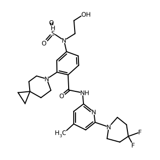 Cc1cc(NC(=O)c2ccc(N(CCO)[SH](=O)=O)cc2N2CCC3(CC2)CC3)nc(N2CCC(F)(F)CC2)c1